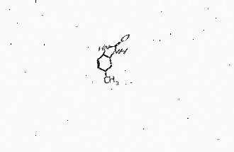 CC1C=CC2NC(=O)NC2C1